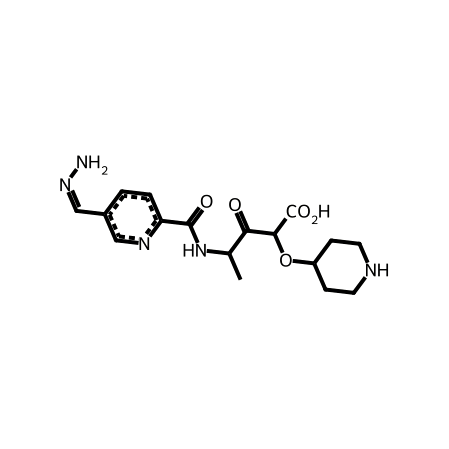 CC(NC(=O)c1ccc(/C=N\N)cn1)C(=O)C(OC1CCNCC1)C(=O)O